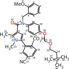 COc1ccccc1CN(C(=O)c1cc(-c2cc(C#N)ccc2C(=O)O)n(C)c1C)c1ccc(OCOCC[Si](C)(C)C)cc1